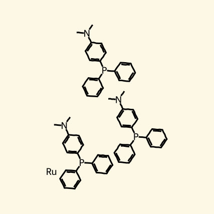 CN(C)c1ccc(P(c2ccccc2)c2ccccc2)cc1.CN(C)c1ccc(P(c2ccccc2)c2ccccc2)cc1.CN(C)c1ccc(P(c2ccccc2)c2ccccc2)cc1.[Ru]